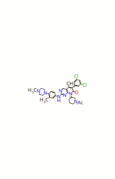 CC(=O)N1CCC[C@H](n2c(=O)c(-c3cc(Cl)cc(Cl)c3)c(C)c3cnc(Nc4ccc(N5CCN(C)CC5)c(C)c4)nc32)C1